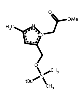 COC(=O)Cn1nc(C)cc1CO[Si](C)(C)C(C)(C)C